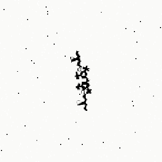 CCCC(CCCOc1c(C(C)(C)C)cc(Cc2cc(C(C)(C)C)c(OCCCC(CCC)C3CO3)c(C(C)(C)C)c2)cc1C(C)(C)C)C1CO1